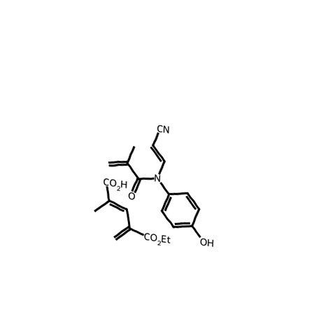 C=C(C)C(=O)N(C=CC#N)c1ccc(O)cc1.C=C(C=C(C)C(=O)O)C(=O)OCC